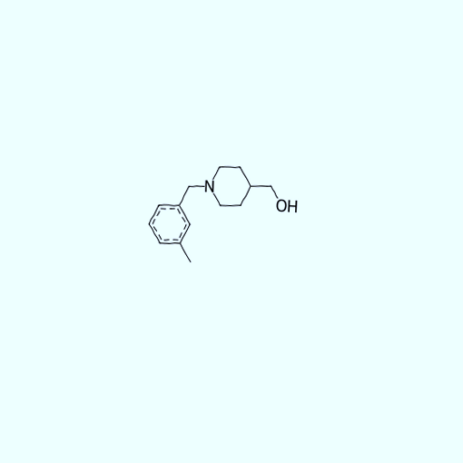 Cc1cccc(CN2CCC(CO)CC2)c1